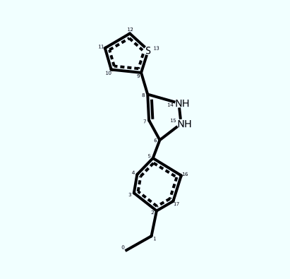 CCc1ccc(C2C=C(c3cccs3)NN2)cc1